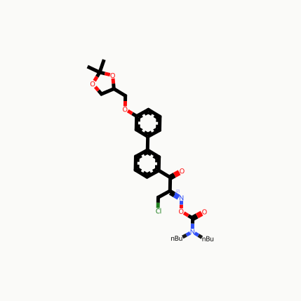 CCCCN(CCCC)C(=O)O/N=C(\CCl)C(=O)c1cccc(-c2cccc(OCC3COC(C)(C)O3)c2)c1